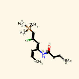 C\C=C/C(=C\C(F)=C\S(C)(C)C)NC(=O)CCNC